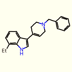 CCc1cccc2c(C3=CCN(Cc4ccccc4)CC3)c[nH]c12